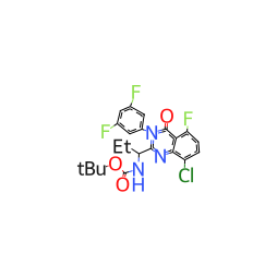 CCC(NC(=O)OC(C)(C)C)c1nc2c(Cl)ccc(F)c2c(=O)n1-c1cc(F)cc(F)c1